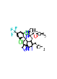 CCc1cccc2c1CC(CC)(COC)NC2(Cc1cn[nH]c1)c1c(Cl)cc(C(F)(F)F)cc1Cl